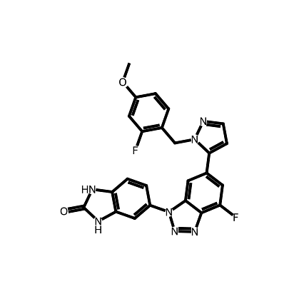 COc1ccc(Cn2nccc2-c2cc(F)c3nnn(-c4ccc5[nH]c(=O)[nH]c5c4)c3c2)c(F)c1